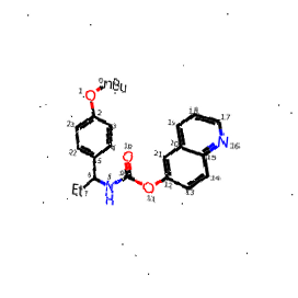 CCCCOc1ccc(C(CC)NC(=O)Oc2ccc3ncccc3c2)cc1